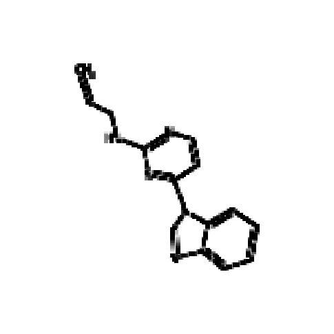 C=CCNc1nccc(-n2cnc3ccccc32)n1